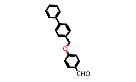 O=Cc1ccc(OCc2ccc(-c3ccccc3)cc2)cc1